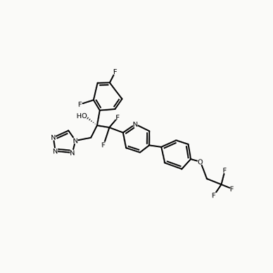 O[C@](Cn1cnnn1)(c1ccc(F)cc1F)C(F)(F)c1ccc(-c2ccc(OCC(F)(F)F)cc2)cn1